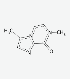 Cc1cnc2c(=O)n(C)ccn12